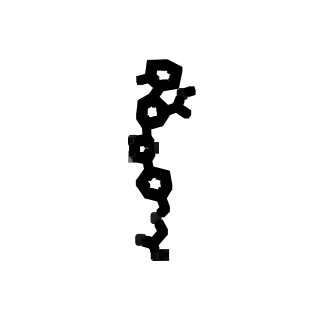 COC(C)c1cc(-c2nc(-c3ccc(COCC(=O)O)cc3)no2)ccc1-c1ccccc1C